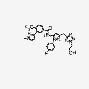 Cn1ccc(-c2cc(C(=O)Nc3cc(Cc4nnn(CCO)n4)nn3-c3ccc(F)cc3)ccc2C(F)(F)F)n1